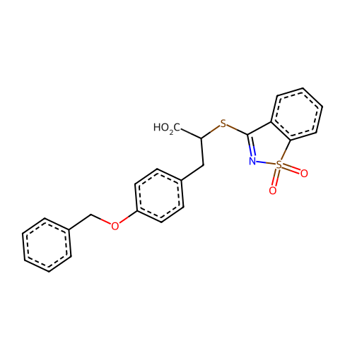 O=C(O)C(Cc1ccc(OCc2ccccc2)cc1)SC1=NS(=O)(=O)c2ccccc21